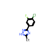 CCc1nc(-c2ccc(Cl)c(F)c2)n[nH]1